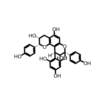 Oc1ccc([C@H]2Oc3c(c(O)cc4c3[C@@H]3c5c(O)cc(O)cc5O[C@](c5ccc(O)cc5)(O4)[C@H]3O)C[C@H]2O)cc1